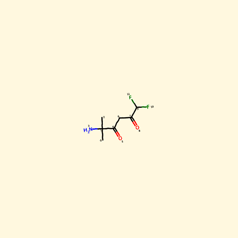 CC(C)(N)C(=O)CC(=O)C(F)F